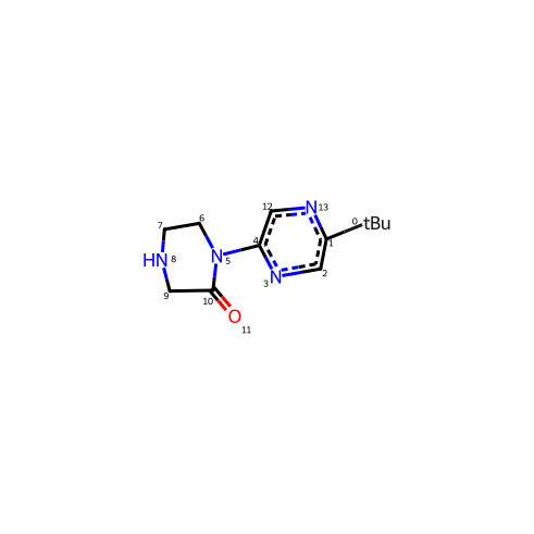 CC(C)(C)c1cnc(N2CCNCC2=O)cn1